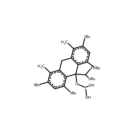 CCCCC(CC)C1(OP(O)O)c2c(C(C)(C)C)cc(C(C)(C)C)c(C)c2Cc2c(C)c(C(C)(C)C)cc(C(C)(C)C)c21